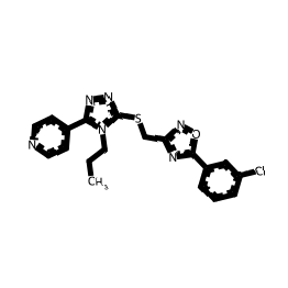 CCCn1c(SCc2noc(-c3cccc(Cl)c3)n2)nnc1-c1ccncc1